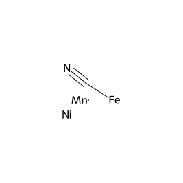 N#[C][Fe].[Mn].[Ni]